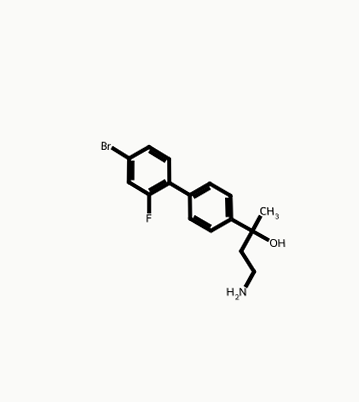 CC(O)(CCN)c1ccc(-c2ccc(Br)cc2F)cc1